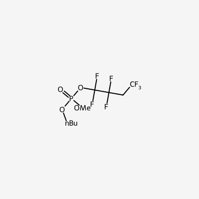 CCCCOP(=O)(OC)OC(F)(F)C(F)(F)CC(F)(F)F